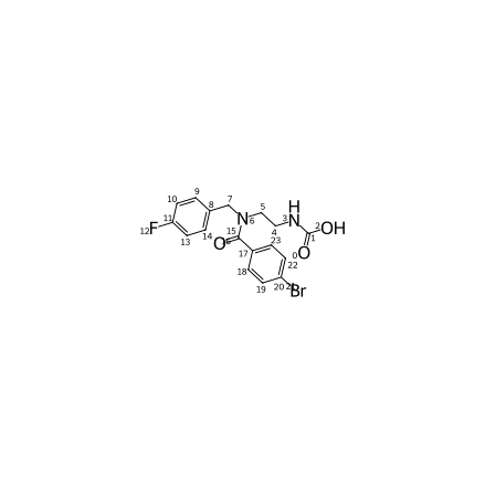 O=C(O)NCCN(Cc1ccc(F)cc1)C(=O)c1ccc(Br)cc1